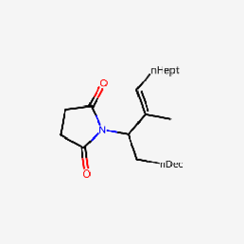 CCCCCCCC=C(C)C(CCCCCCCCCCC)N1C(=O)CCC1=O